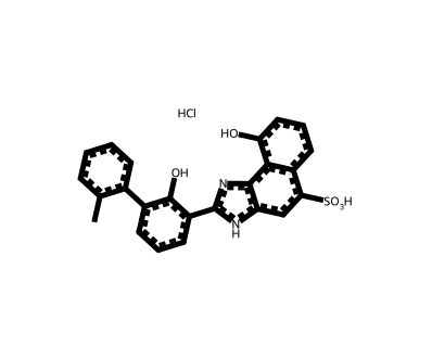 Cc1ccccc1-c1cccc(-c2nc3c(cc(S(=O)(=O)O)c4cccc(O)c43)[nH]2)c1O.Cl